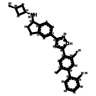 Cc1cc(-c2nc(-c3ccc4c(c3)CCC4N[C@H]3C[C@H](C)C3)no2)c(F)cc1-c1ccccc1F